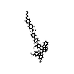 CCCCCC1CCC(C2CCC(C(=O)Oc3ccc(N4CCN(c5cc6c7c(c8c(c6cc5OC)OC(c5ccc(OC)cc5)(c5ccc(OC)cc5)C=C8)C(F)(C(F)(F)F)c5ccccc5-7)CC4)cc3)CC2)CC1